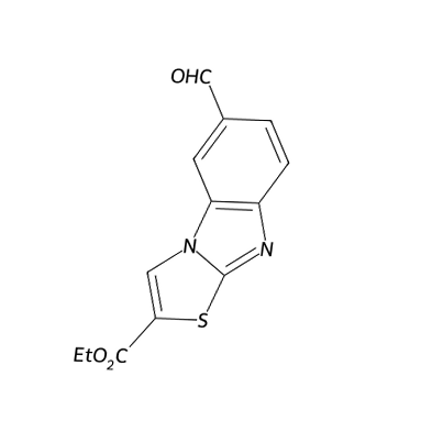 CCOC(=O)c1cn2c(nc3ccc(C=O)cc32)s1